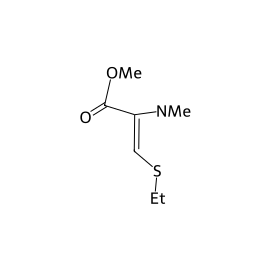 CCS/C=C(\NC)C(=O)OC